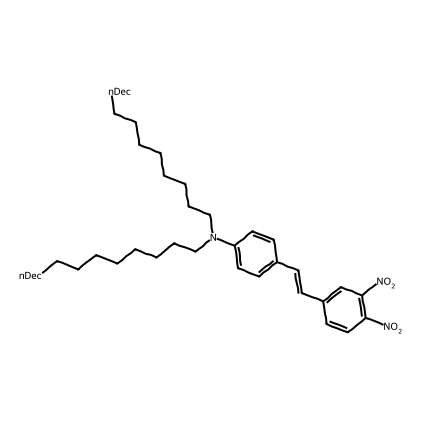 CCCCCCCCCCCCCCCCCCN(CCCCCCCCCCCCCCCCCC)c1ccc(C=Cc2ccc([N+](=O)[O-])c([N+](=O)[O-])c2)cc1